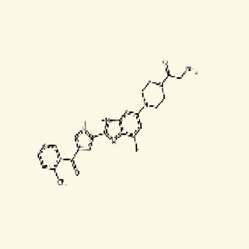 NCC(=O)N1CCN(c2cc(F)c3nc(-c4cc(C(=O)c5ccccc5C(F)(F)F)c[nH]4)[nH]c3c2)CC1